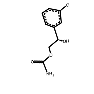 NC(=O)OC[C@H](O)c1cccc(Cl)c1